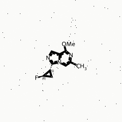 COc1nc(C)cn2c([C@@H]3C[C@H]3F)ncc12